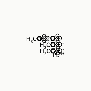 Cc1ccc(S(=O)(=O)[O-])cc1.Cc1ccc(S(=O)(=O)[O-])cc1.Cc1ccc(S(=O)(=O)[O-])cc1.Cc1ccc(S(=O)(=O)[O-])cc1.[Pb+4]